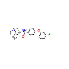 O=C(N[C@@H]1C[C@H]2CCN(C2)C1)c1ccc(Oc2cccc(F)c2)cc1